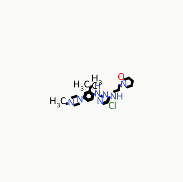 CCN1CCN(c2ccc(Nc3ncc(Cl)c(NCCCN4CCCCC4=O)n3)c(C(C)C)c2)CC1